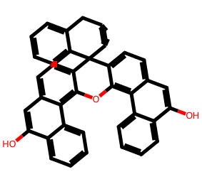 Oc1cc2ccc3c(c2c2ccccc12)Oc1c(ccc2cc(O)c4ccccc4c12)C31c2ccccc2Cc2ccccc21